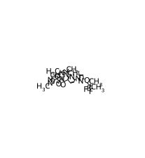 Cc1nn(C)cc1S(=O)(=O)NC(=O)c1ccc(-n2ccc(OCC(C)(C)B(F)F)n2)nc1N1C[C@@H](C)CC1(C)C